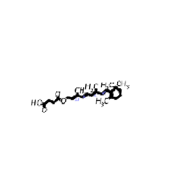 CC1=C(/C=C/C(C)=C/C=C/C(C)=C/COC(=O)CCC(=O)O)C(C)(C)CCC1